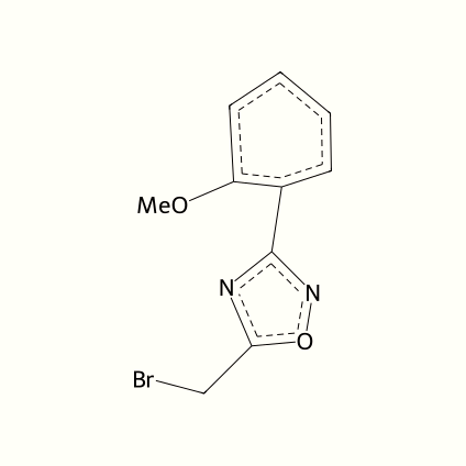 COc1ccccc1-c1noc(CBr)n1